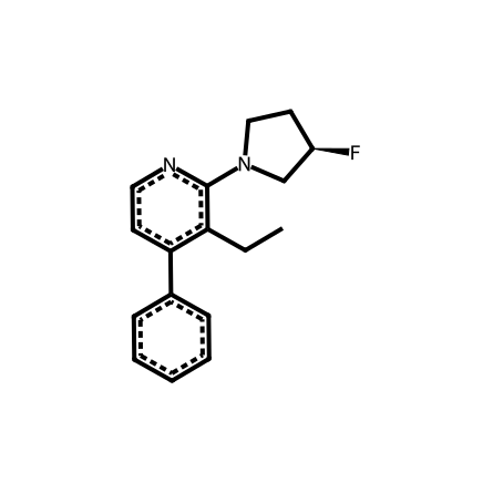 CCc1c(-c2ccccc2)ccnc1N1CC[C@@H](F)C1